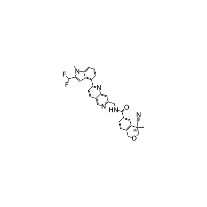 Cn1c(C(F)F)cc2c(-c3ccc4cnc(CNC(=O)c5ccc6c(c5)[C@](C)(C#N)COC6)cc4n3)cccc21